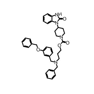 O=C(OCCCN(Cc1ccccc1)Cc1cccc(OCc2ccccc2)c1)N1CCC(n2c(=O)[nH]c3ccccc32)CC1